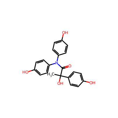 CC(O)(C(=O)N(c1ccc(O)cc1)c1ccc(O)cc1)c1ccc(O)cc1